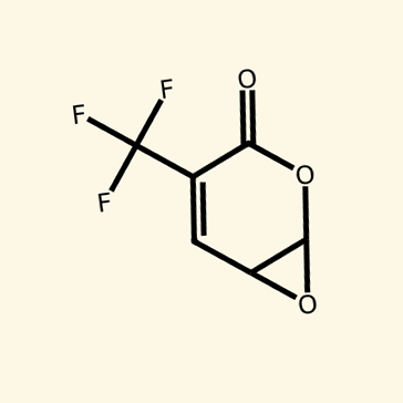 O=C1OC2OC2C=C1C(F)(F)F